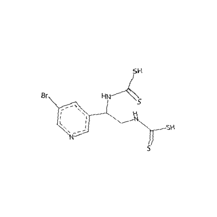 S=C(S)NCC(NC(=S)S)c1cncc(Br)c1